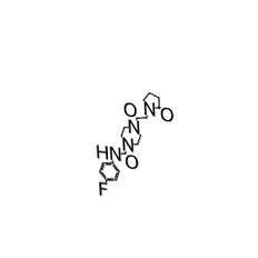 O=C(CN1CCCC1=O)N1CCN(C(=O)Nc2ccc(F)cc2)CC1